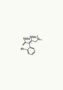 C=C(NC)/C(=C(/CN(C)C)NC)c1ccccc1C(C)C